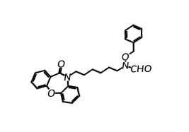 O=CN(CCCCCCN1C(=O)c2ccccc2Oc2ccccc21)OCc1ccccc1